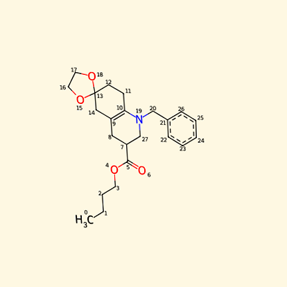 CCCCOC(=O)C1CC2=C(CCC3(C2)OCCO3)N(Cc2ccccc2)C1